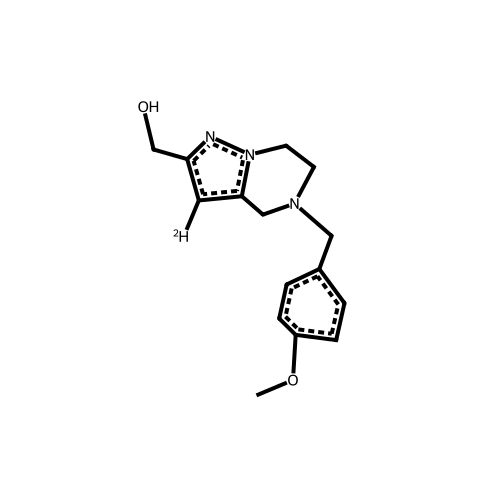 [2H]c1c(CO)nn2c1CN(Cc1ccc(OC)cc1)CC2